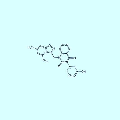 CC[C@@H](CC(=O)O)n1c(=O)c2cnccc2n(Cc2nsc3cc(C)cc(C)c23)c1=O